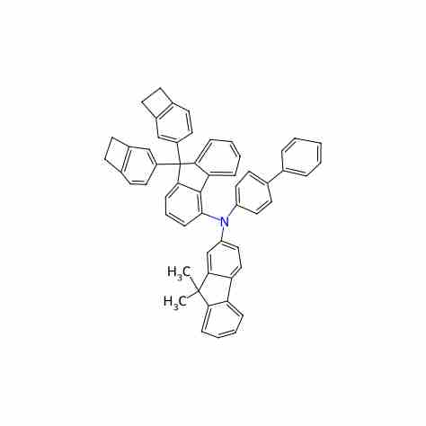 CC1(C)c2ccccc2-c2ccc(N(c3ccc(-c4ccccc4)cc3)c3cccc4c3-c3ccccc3C4(c3ccc4c(c3)CC4)c3ccc4c(c3)CC4)cc21